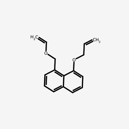 C=CCOc1cccc2cccc(COC=C)c12